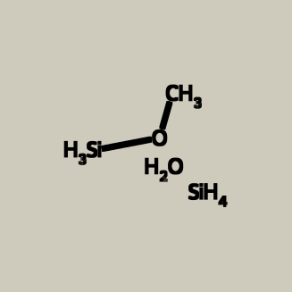 CO[SiH3].O.[SiH4]